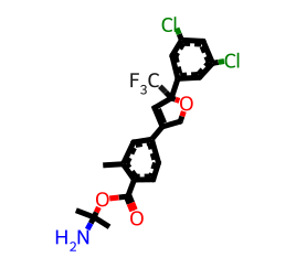 Cc1cc(C2=CC(c3cc(Cl)cc(Cl)c3)(C(F)(F)F)OC2)ccc1C(=O)OC(C)(C)N